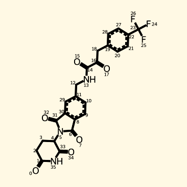 O=C1CCC(N2C(=O)c3ccc(CNC(=O)C(=O)Cc4ccc(C(F)(F)F)cc4)cc3C2=O)C(=O)N1